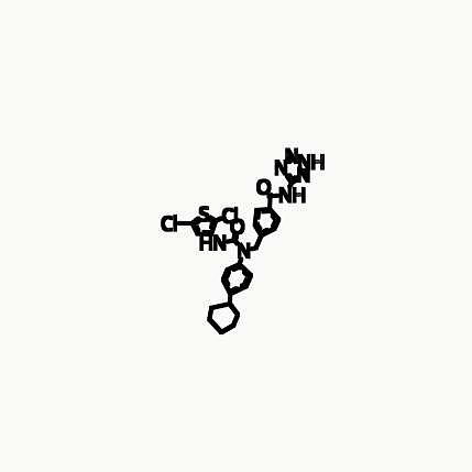 O=C(Nc1nn[nH]n1)c1ccc(CN(C(=O)Nc2cc(Cl)sc2Cl)c2ccc(C3CCCCC3)cc2)cc1